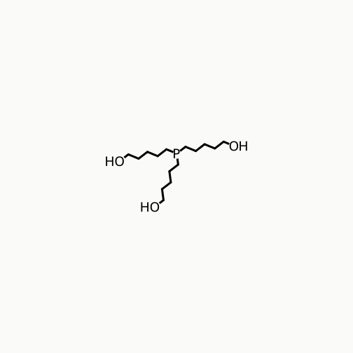 OCCCCCP(CCCCCO)CCCCCO